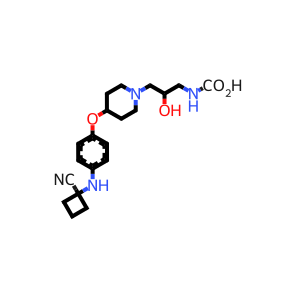 N#CC1(Nc2ccc(OC3CCN(CC(O)CNC(=O)O)CC3)cc2)CCC1